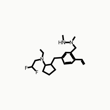 C=Cc1ccc(CC2CCCC2N(CC)CC(F)F)cc1CN(C)NC